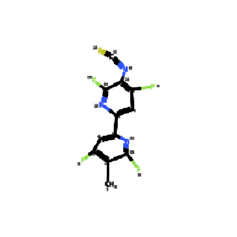 Cc1c(F)cc(-c2cc(F)c(N=C=S)c(F)n2)nc1F